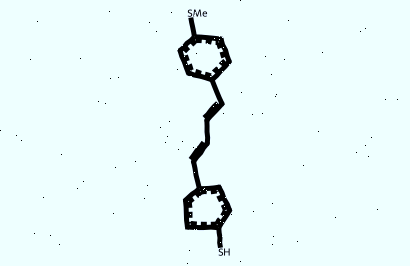 CSc1ccc(/C=C/C=C/c2ccc(S)cc2)cc1